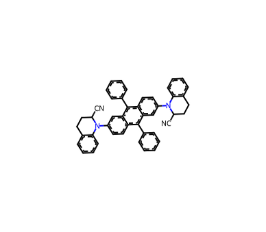 N#CC1CCc2ccccc2N1c1ccc2c(-c3ccccc3)c3cc(N4c5ccccc5CCC4C#N)ccc3c(-c3ccccc3)c2c1